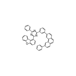 c1ccc(-c2ccc3ccc4ccc(-c5cccc(-c6nc(-c7ccccc7)nc(-c7cccc8oc9ccccc9c78)n6)c5)cc4c3c2)cc1